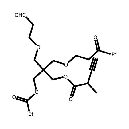 C#CC(C)C(=O)OCC(COCCC=O)(COCCC(=O)C(C)C)COC(=O)CC